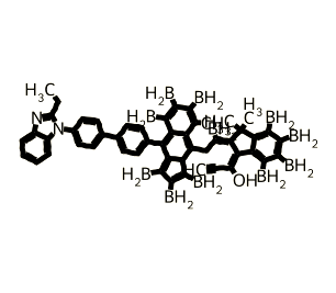 BC1=C(B)C2C(=C1B)C(c1ccc(-c3ccc(-n4c(CC)nc5ccccc54)cc3)cc1)=c1c(B)c(B)c(B)c(C)c1=C2C/C(B)=C1\C(=C(\O)C#C)c2c(B)c(B)c(B)c(B)c2C1(C)C